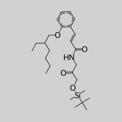 CCCCC(CC)COc1ccccc1C=CC(=O)NCC(=O)CO[Si](C)(C)C(C)(C)C